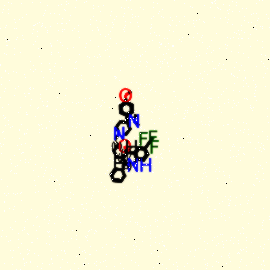 COc1ccc(C2(N(C)C)CCN(C[C@H]3CC[C@@H]4[C@H](O3)c3cc(C(F)(F)F)ccc3N[C@H]4C3C=CC=CC3)CC2)cc1